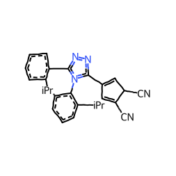 Cc1ccccc1-c1nnc(C2=CC(C#N)C(C#N)=C2)n1-c1c(C(C)C)cccc1C(C)C